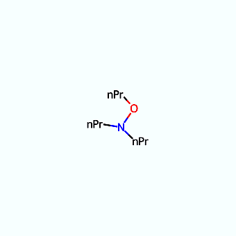 CCCON(CCC)CCC